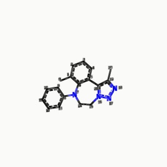 Cc1cccc2c1N(c1ccccc1)CCn1nnc(C)c1-2